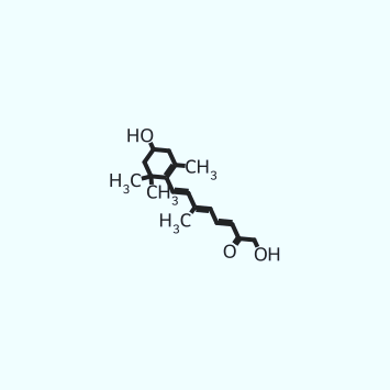 CC1=C(/C=C/C(C)=C/C=C/C(=O)CO)C(C)(C)CC(O)C1